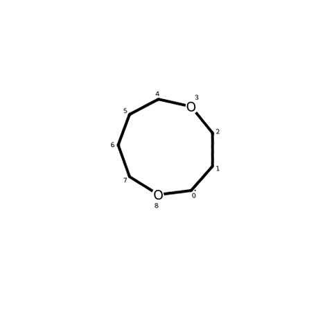 [CH]1CCOCCCCO1